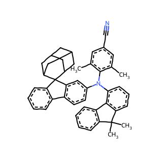 Cc1cc(C#N)cc(C)c1N(c1ccc2c(c1)C1(c3ccccc3-2)C2CC3CC(C2)CC1C3)c1cccc2c1-c1ccccc1C2(C)C